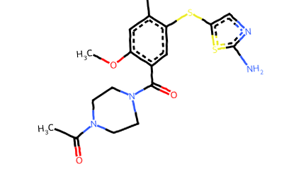 COc1cc(C)c(Sc2cnc(N)s2)cc1C(=O)N1CCN(C(C)=O)CC1